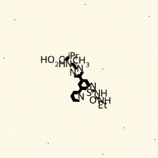 CCNC(=O)Nc1nc2cc(-c3cnc([C@H](C)N[C@@H](C(=O)O)C(C)C)nc3)cc(-c3ccccn3)c2s1